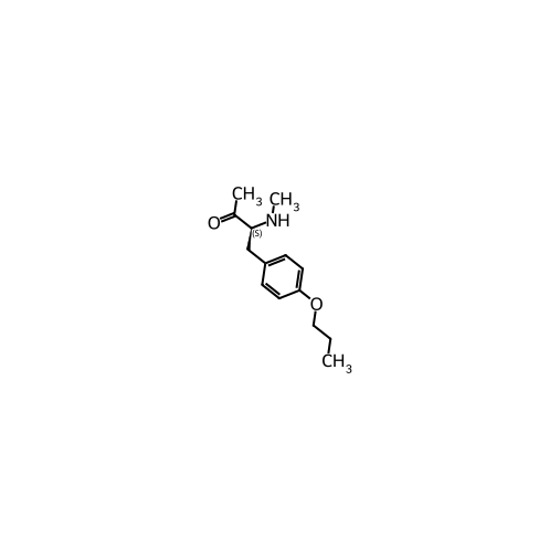 CCCOc1ccc(C[C@H](NC)C(C)=O)cc1